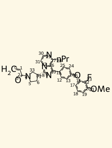 C=CC(=O)N1CC[C@@H](c2nc(-c3ccc(Oc4cccc(OC)c4F)cc3)c3c(CCC)nccn23)C1